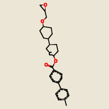 Cc1ccc(-c2ccc(C(=O)OC3CCC(C4CCC(OCC5CO5)CC4)CC3)cc2)cc1